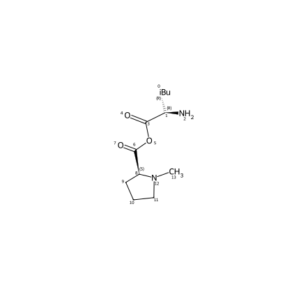 CC[C@@H](C)[C@@H](N)C(=O)OC(=O)[C@@H]1CCCN1C